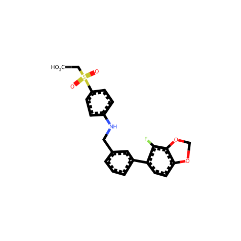 O=C(O)CS(=O)(=O)c1ccc(NCc2cccc(-c3ccc4c(c3F)OCO4)c2)cc1